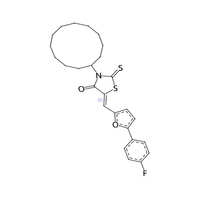 O=C1/C(=C/c2ccc(-c3ccc(F)cc3)o2)SC(=S)N1C1CCCCCCCCCCC1